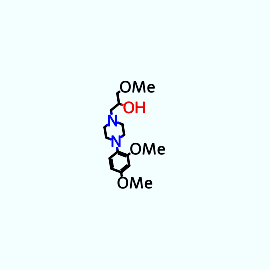 COCC(O)CN1CCN(c2ccc(OC)cc2OC)CC1